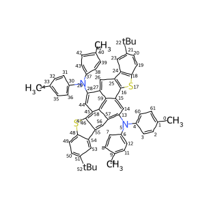 Cc1ccc(N(c2ccc(C)cc2)c2cc3c4sc5ccc(C(C)(C)C)cc5c4cc4c(N(c5ccc(C)cc5)c5ccc(C)cc5)cc5c6sc7ccc(C(C)(C)C)cc7c6cc2c5c43)cc1